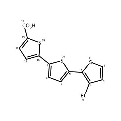 CCc1ccsc1-c1ccc(-c2ccc(C(=O)O)s2)s1